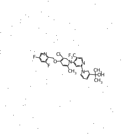 CC1=CC(OCc2ncc(F)cc2F)=C(Cl)CN1c1cc(N2C=CC=C(C(C)(C)O)C2)ncc1C(F)(F)F